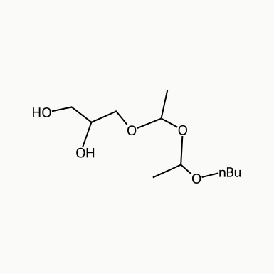 CCCCOC(C)OC(C)OCC(O)CO